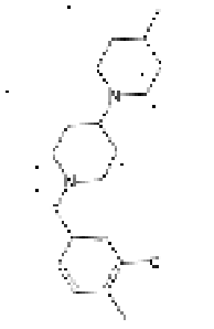 Cc1ccc(SN2CCC(N3CCC(C)CC3)CC2)cc1Cl